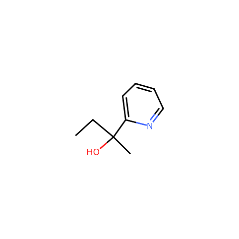 CCC(C)(O)c1ccccn1